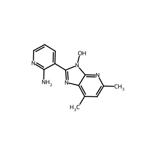 Cc1cc(C)c2nc(-c3cccnc3N)n(O)c2n1